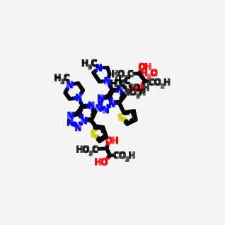 CN1CCN(c2ncc(-c3cccs3)n3nnnc23)CC1.CN1CCN(c2ncc(-c3cccs3)n3nnnc23)CC1.CS(=O)(=O)O.CS(=O)(=O)O.O.O=C(O)C(O)C(O)C(=O)O.O=C(O)C(O)C(O)C(=O)O